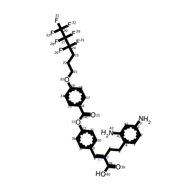 Nc1ccc(CC/C(=C\c2ccc(OC(=O)c3ccc(OCCCC(F)(F)C(F)(F)C(F)(F)F)cc3)cc2)C(=O)O)c(N)c1